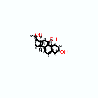 C[C@@H](O)[C@H]1CC[C@H]2C3=CC=C4C[C@@H](O)CC[C@@]4(C)[C@@H]3[C@H](O)C[C@]12C